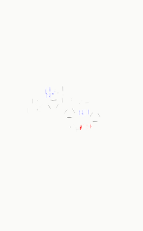 CCC(Nc1c(C(C)C)cc(Cc2cc(C(C)C)c(N)c(C(C)C)c2)cc1C(C)C)c1ccccc1O